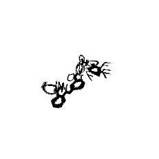 CC(C)(Oc1c(F)c(F)cc(F)c1F)C(=O)N1CCN(C(=O)c2cc(Cc3n[nH]c(=O)c4ccccc34)ccc2F)CC1